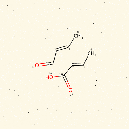 C/C=C/C=O.CC=CC(=O)O